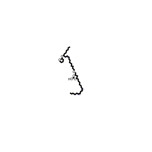 CCCCC/C=C\C/C=C\CCCCCCCCC(COCCCCCCCC/C=C\CC(CCCCCC)OC1CCCCO1)OC(=O)O